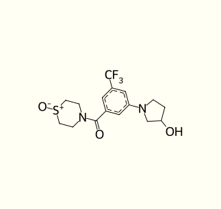 O=C(c1cc(N2CCC(O)C2)cc(C(F)(F)F)c1)N1CC[S+]([O-])CC1